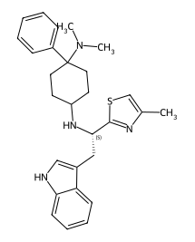 Cc1csc([C@H](Cc2c[nH]c3ccccc23)NC2CCC(c3ccccc3)(N(C)C)CC2)n1